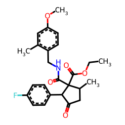 CCOC(=O)C1(C(=O)NCc2ccc(OC)cc2C)C(C)CC(=O)C1c1ccc(F)cc1